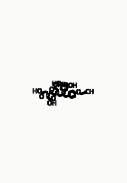 C#CCOc1ccc(CC(CN(CCN(CC(=O)O)CC(=O)O)CC(=O)O)N(CC(=O)O)CC(=O)O)cc1